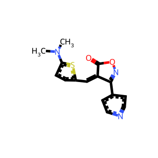 CN(C)c1ccc(C=C2C(=O)ON=C2c2ccncc2)s1